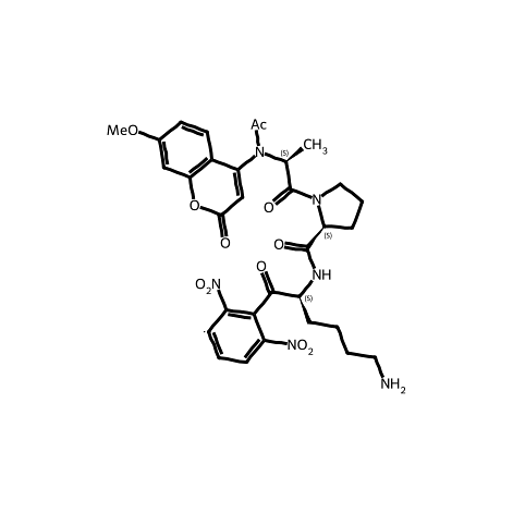 COc1ccc2c(N(C(C)=O)[C@@H](C)C(=O)N3CCC[C@H]3C(=O)N[C@@H](CCCCN)C(=O)c3c([N+](=O)[O-])[c]ccc3[N+](=O)[O-])cc(=O)oc2c1